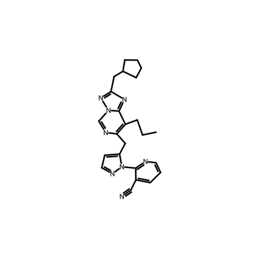 CCCc1c(Cc2ccnn2-c2ncccc2C#N)ncn2nc(CC3CCCC3)nc12